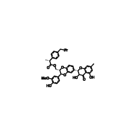 COc1cc(C2Oc3cc([C@@H]4Oc5cc(C)cc(O)c5C(=O)C4O)ccc3O[C@H]2COC(=O)[C@H](C)c2ccc(CC(C)C)cc2)ccc1O